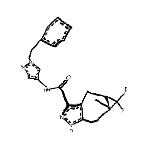 CC12Cc3[nH]nc(C(=O)Nc4cnn(Cc5ccccc5)c4)c3CC1C2(F)F